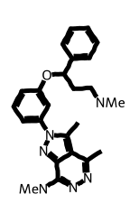 CNCCC(Oc1cccc(-n2nc3c(NC)nnc(C)c3c2C)c1)c1ccccc1